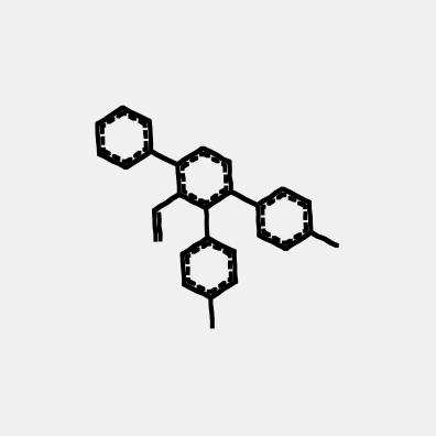 C=Cc1c(-c2ccccc2)ccc(-c2ccc(C)cc2)c1-c1ccc(C)cc1